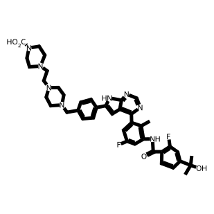 Cc1c(NC(=O)c2ccc(C(C)(C)O)cc2F)cc(F)cc1-c1ncnc2[nH]c(-c3ccc(CN4CCN(CCN5CCN(C(=O)O)CC5)CC4)cc3)cc12